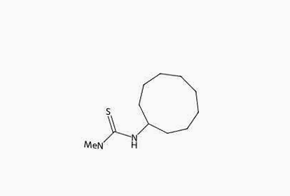 CNC(=S)NC1CCCCCCCC1